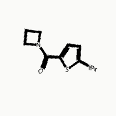 CC(C)c1ccc(C(=O)N2CCC2)s1